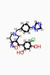 Oc1cc(O)c(-c2onc3c2CN(Cc2ccc(-n4cncn4)cc2)CC3)cc1Cl